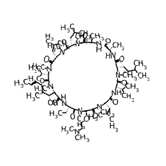 C/C=C/C[C@@H](C)[C@@H](O)[C@H]1C(=O)N[C@@H](CC)C(=O)N(C)[C@H](OCCN(C)C)C(=O)N(C)[C@@H](CC(C)C)C(=O)N[C@@H](C(C)C)C(=O)N(C)[C@@H](CCC(C)C)C(=O)N[C@@H](C)C(=O)N[C@H](C)C(=O)N(C)[C@@H](CC(C)C)C(=O)N(C)[C@@H](CC(C)C)C(=O)N(C)[C@@H](C(C)C)C(=O)N1C